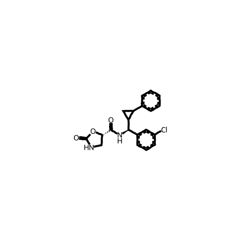 O=C1NC[C@@H](C(=O)N[C@H](c2cccc(Cl)c2)C2CC2c2ccccc2)O1